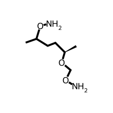 CC(CC[C@@H](C)OCON)ON